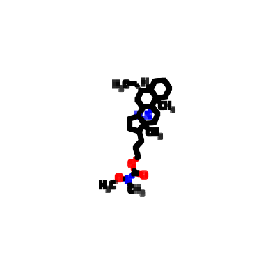 CC[C@H]1CC2C3CCC(CCCOC(=O)N(C)OC)C3(C)CC[C@]2(N)C2(C)CCCC[C@@H]12